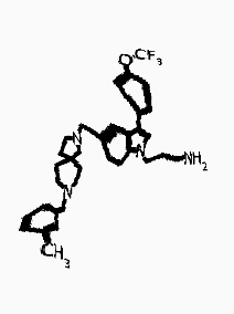 Cc1cccc(CN2CCC3(CC2)CCN(Cc2ccc4c(c2)c(-c2ccc(OC(F)(F)F)cc2)cn4CCCN)C3)c1